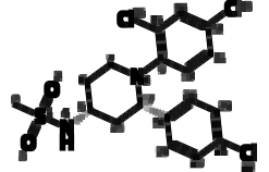 CS(=O)(=O)N[C@@H]1CCN(c2ccc(Cl)cc2Cl)[C@H](c2ccc(Cl)cc2)C1